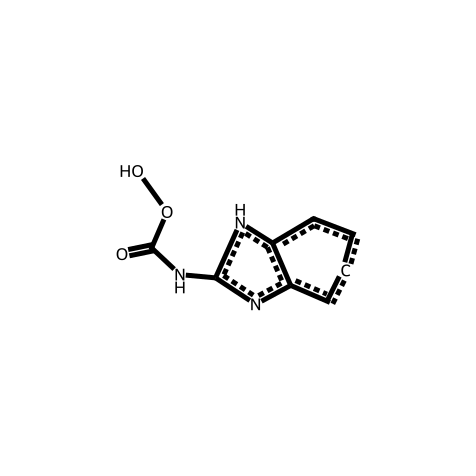 O=C(Nc1nc2ccccc2[nH]1)OO